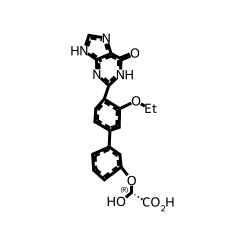 CCOc1cc(-c2cccc(O[C@@H](O)C(=O)O)c2)ccc1-c1nc2[nH]cnc2c(=O)[nH]1